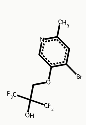 Cc1cc(Br)c(OCC(O)(C(F)(F)F)C(F)(F)F)cn1